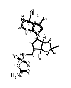 CC1(C)O[C@@H]2[C@@H](CNS(=O)(=O)OC(N)=O)C[C@@H](n3cc(I)c4c(N)ncnc43)[C@@H]2O1